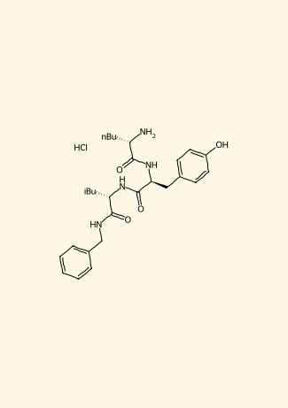 CCCC[C@H](N)C(=O)N[C@@H](Cc1ccc(O)cc1)C(=O)N[C@H](C(=O)NCc1ccccc1)C(C)CC.Cl